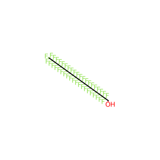 OCC(F)(F)C(F)(F)C(F)(F)C(F)(F)C(F)(F)C(F)(F)C(F)(F)C(F)(F)C(F)(F)C(F)(F)C(F)(F)C(F)(F)C(F)(F)C(F)(F)C(F)(F)C(F)(F)C(F)(F)C(F)(F)C(F)(F)C(F)(F)F